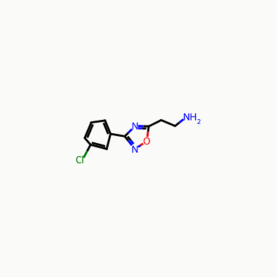 NCCc1nc(-c2cccc(Cl)c2)no1